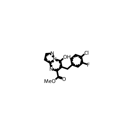 COC(=O)c1nc2ccnn2c(O)c1Cc1ccc(Cl)c(F)c1